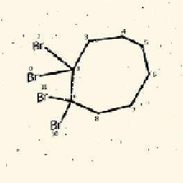 BrC1(Br)CCCCCCC1(Br)Br